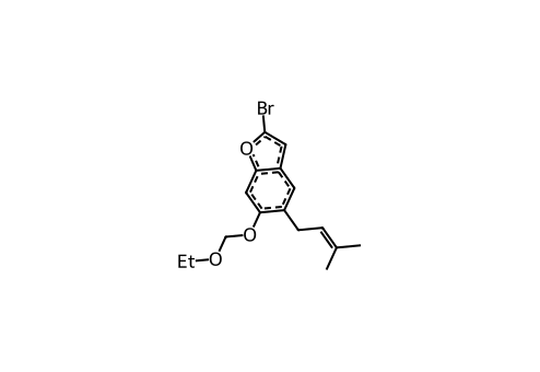 CCOCOc1cc2oc(Br)cc2cc1CC=C(C)C